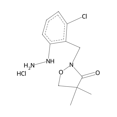 CC1(C)CON(Cc2c(Cl)cccc2NN)C1=O.Cl